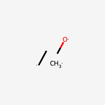 C[O].[CH2]C.[CH3]